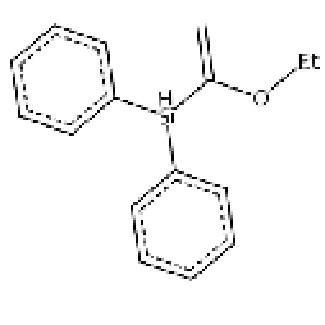 C=C(OCC)[SiH](c1ccccc1)c1ccccc1